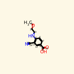 COCCNc1ccc(C(=O)O)cc1C#N